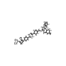 CCC(CC)n1ncn(-c2ccc(N3CCN(c4ccc(SCC5COC(Cn6cncn6)(c6ccc(F)cc6F)O5)cc4)CC3)cc2)c1=O